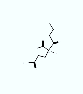 CCCC(=O)[C@](N)(CCC(N)=O)C(=O)O